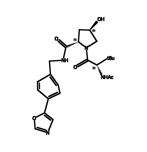 CC(=O)N[C@H](C(=O)N1C[C@H](O)C[C@H]1C(=O)NCc1ccc(-c2cnco2)cc1)C(C)(C)C